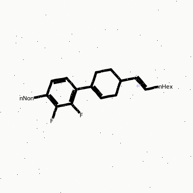 CCCCCC/C=C/C1CC=C(c2ccc(CCCCCCCCC)c(F)c2F)CC1